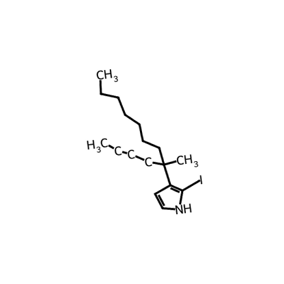 CCCCCCCC(C)(CCCC)c1cc[nH]c1I